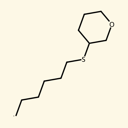 [CH2]CCCCCSC1CCCOC1